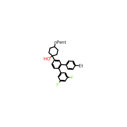 CCCCCC1CCC(O)(c2ccc(-c3cc(F)cc(F)c3)c(-c3ccc(CC)cc3)c2)CC1